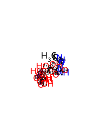 CCc1cn(Cn2cc([C@@H]3O[C@H](COP(=O)(O)OP(=O)(O)OP(=O)(O)O)C(O)[C@@H]3O)c(=O)[nH]c2=O)nn1